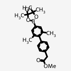 COC(=O)Cc1ccc(-c2c(C)cc(B3OC(C)(C)C(C)(C)O3)cc2C)cc1